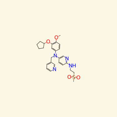 COc1ccc(N(Cc2cccnc2)c2ccc(NCCS(C)(=O)=O)nc2)cc1OC1CCCC1